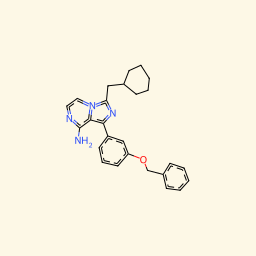 Nc1nccn2c(CC3CCCCC3)nc(-c3cccc(OCc4ccccc4)c3)c12